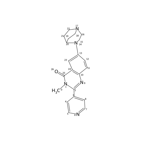 Cn1c(-c2ccncc2)nc2ccc(N3CCN4CCC3CC4)cc2c1=O